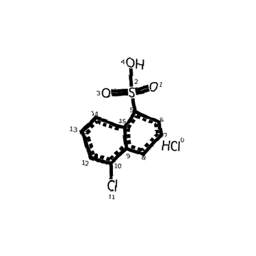 Cl.O=S(=O)(O)c1cccc2c(Cl)cccc12